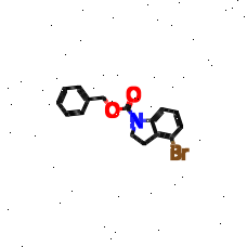 O=C(OCc1ccccc1)N1CCc2c(Br)cccc21